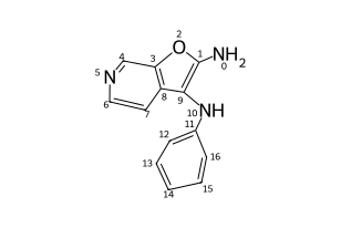 Nc1oc2cnccc2c1Nc1ccccc1